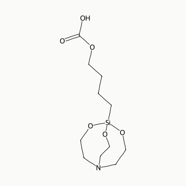 O=C(O)OCCCC[Si]12OCCN(CCO1)CCO2